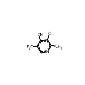 Cc1ncc(C(F)(F)F)c(C#N)c1Cl